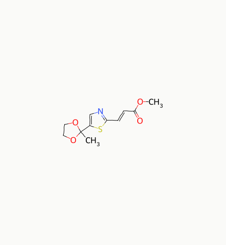 COC(=O)/C=C/c1ncc(C2(C)OCCO2)s1